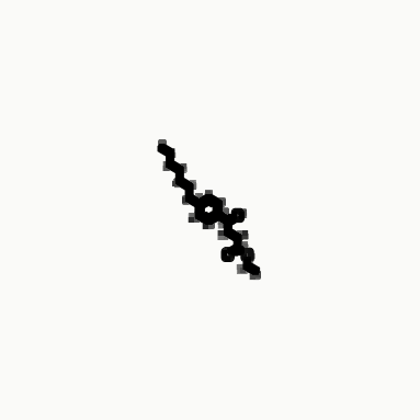 CCCCCCCc1ccc(C(=O)CCC(=O)OCC)cc1